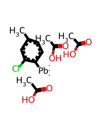 CC(=O)O.CC(=O)O.CC(=O)O.Cc1cc[c]([Pb])c(Cl)c1